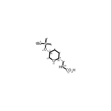 CC(C)(C)[Si](C)(C)O[C@@H]1CC[C@H](CNC(=O)O)OC1